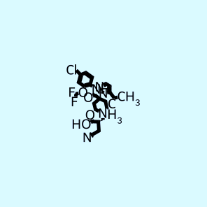 CC(C)c1ccnn1C1(C(=O)Nc2ccc(Cl)cc2OC(F)F)CCN(C[C@H](CC#N)C(=O)O)CC1